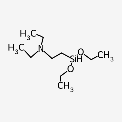 CCO[SiH](CCN(CC)CC)OCC